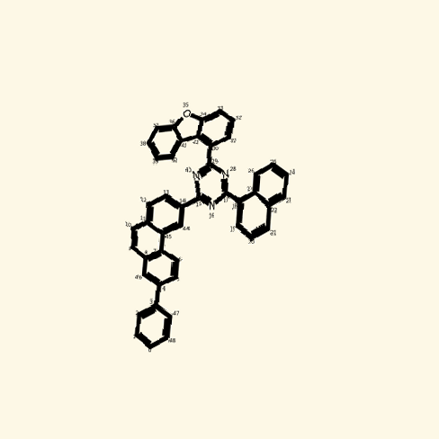 c1ccc(-c2ccc3c(ccc4ccc(-c5nc(-c6cccc7ccccc67)nc(-c6cccc7oc8ccccc8c67)n5)cc43)c2)cc1